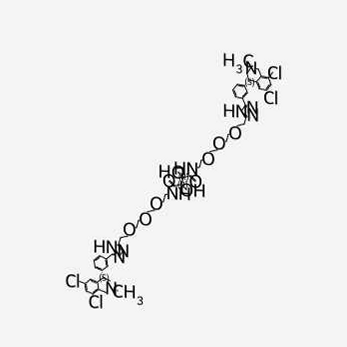 CN1Cc2c(Cl)cc(Cl)cc2[C@H](c2cccc(-c3nnc(CCOCCOCCOCCNC(=O)[C@H](O)[C@@H](O)C(=O)NCCOCCOCCOCCc4nnc(-c5cccc([C@@H]6CN(C)Cc7c(Cl)cc(Cl)cc76)c5)[nH]4)[nH]3)c2)C1